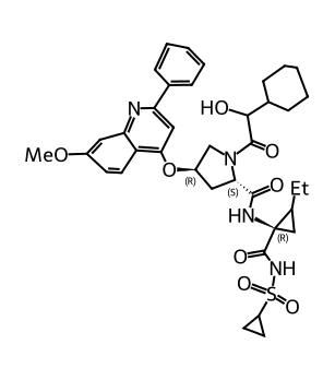 CCC1C[C@]1(NC(=O)[C@@H]1C[C@@H](Oc2cc(-c3ccccc3)nc3cc(OC)ccc23)CN1C(=O)C(O)C1CCCCC1)C(=O)NS(=O)(=O)C1CC1